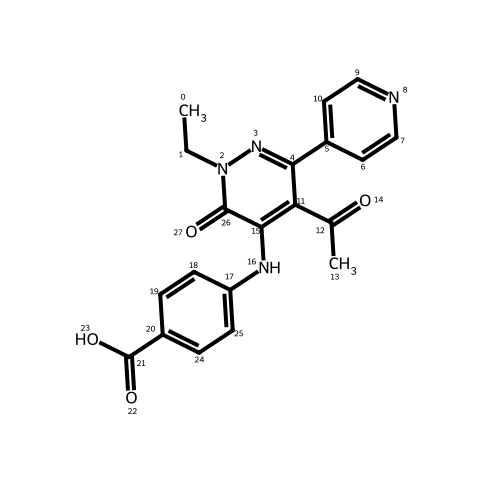 CCn1nc(-c2ccncc2)c(C(C)=O)c(Nc2ccc(C(=O)O)cc2)c1=O